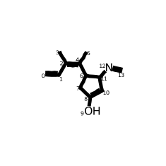 C=C/C(C)=C(/C)C1CC(O)=CC1N=C